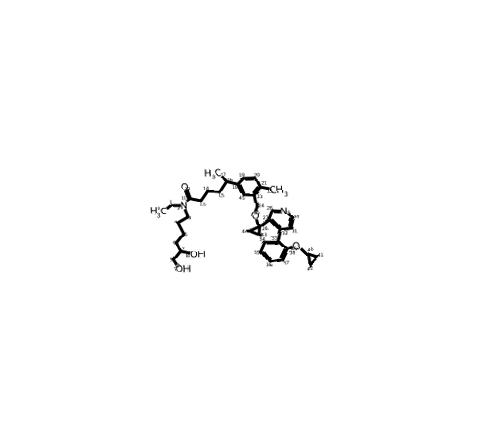 CCN(CCCCC(O)CO)C(=O)CCCC(C)c1ccc(C)c(COC2(c3cnccc3-c3ccccc3OC3CC3)CC2)c1